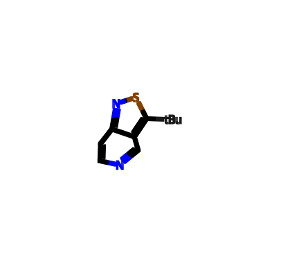 CC(C)(C)c1snc2ccncc12